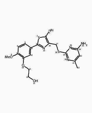 CCCc1sc(-c2ccc(OC)c(OCCO)c2)nc1CSc1nc(C)cc(N)n1